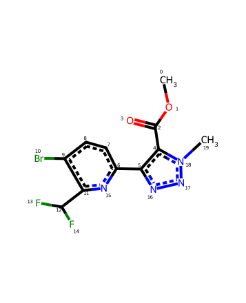 COC(=O)c1c(-c2ccc(Br)c(C(F)F)n2)nnn1C